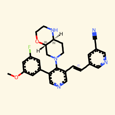 COc1cc(F)cc(-c2cncc(/C=C/c3cncc(C#N)c3)c2N2CC[C@@H]3NCCO[C@H]3C2)c1